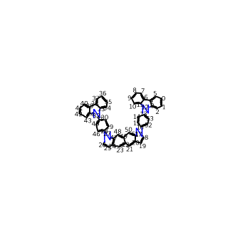 c1ccc2c(c1)c1ccccc1n2-c1ccc(-n2ccc3cc4cc5ccn(-c6ccc(-n7c8ccccc8c8ccccc87)cc6)c5cc4cc32)cc1